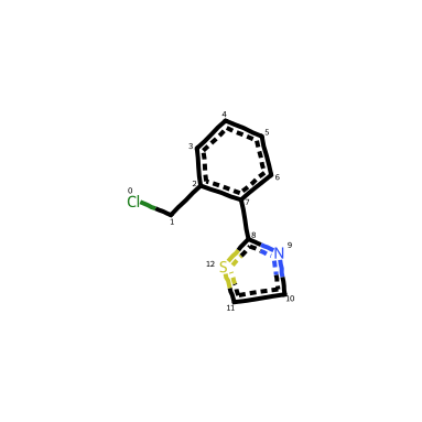 ClCc1ccccc1-c1nccs1